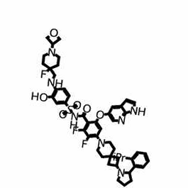 CC(C)c1ccccc1C1CCCN1C1CC2(CCN(c3cc(Oc4cnc5[nH]ccc5c4)c(C(=O)NS(=O)(=O)c4ccc(NCC5(F)CCN(C6COC6)CC5)c(O)c4)c(F)c3F)CC2)C1